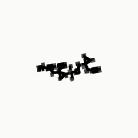 CC(C)NCC1(O)CC1C(C)(C)OCC1(CO)CC1